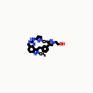 Cn1ccc(Nc2ncc3c(n2)-c2c(nn(C)c2Cc2cccc(-c4cnn(CCO)c4)c2)CC3)n1